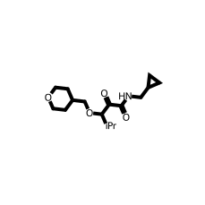 CC(C)C(OCC1CCOCC1)C(=O)C(=O)NCC1CC1